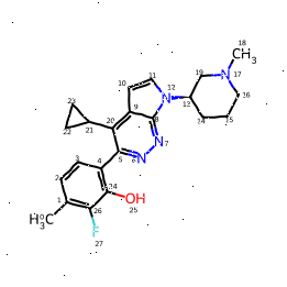 Cc1ccc(-c2nnc3c(ccn3[C@@H]3CCCN(C)C3)c2C2CC2)c(O)c1F